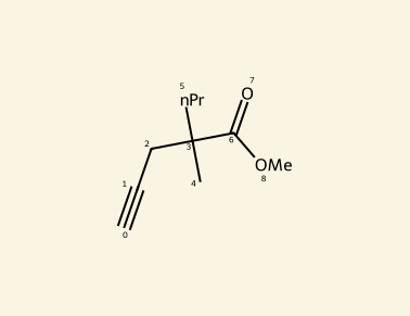 C#CCC(C)(CCC)C(=O)OC